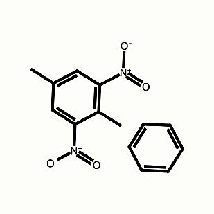 Cc1cc([N+](=O)[O-])c(C)c([N+](=O)[O-])c1.c1ccccc1